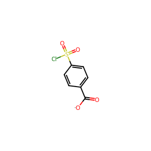 [O]C(=O)c1ccc(S(=O)(=O)Cl)cc1